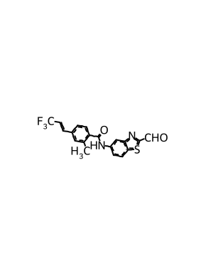 Cc1cc(C=CC(F)(F)F)ccc1C(=O)Nc1ccc2sc(C=O)nc2c1